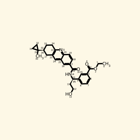 CCOC(=O)c1cccc([C@@H](CCO)NC(=O)c2ccc3nc4c(cc3c2)C[C@@H](C2(C)CC2)CC4)c1